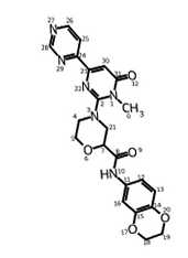 Cn1c(N2CCOC(C(=O)Nc3ccc4c(c3)OCCO4)C2)nc(-c2ccncn2)cc1=O